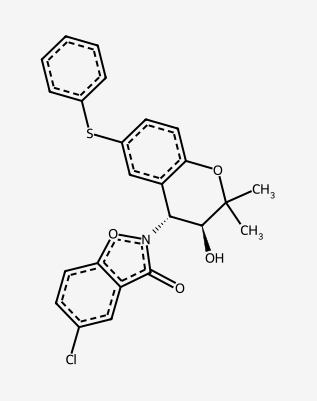 CC1(C)Oc2ccc(Sc3ccccc3)cc2[C@@H](n2oc3ccc(Cl)cc3c2=O)[C@@H]1O